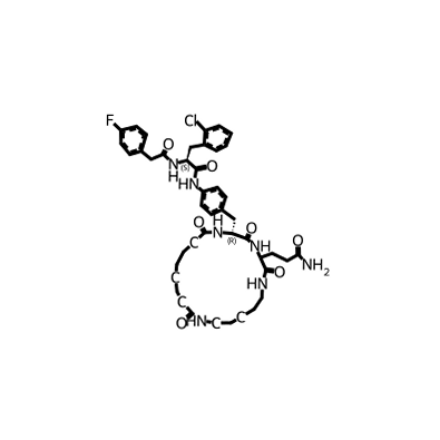 NC(=O)CCC1NC(=O)[C@@H](Cc2ccc(NC(=O)[C@H](Cc3ccccc3Cl)NC(=O)Cc3ccc(F)cc3)cc2)NC(=O)CCCCCCC(=O)NCCCCCNC1=O